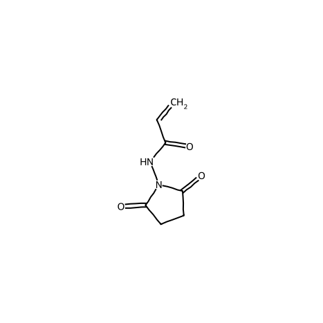 C=CC(=O)NN1C(=O)CCC1=O